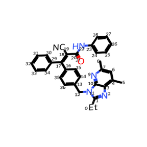 CCc1nc2c(C)cc(C)nc2n1Cc1ccc(C(=C(C#N)C(=O)Nc2ccccc2)c2ccccc2)cc1